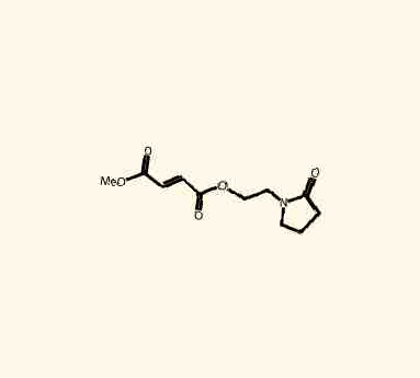 COC(=O)C=CC(=O)OCCN1CCCC1=O